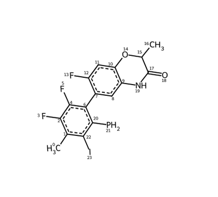 Cc1c(F)c(F)c(-c2cc3c(cc2F)OC(C)C(=O)N3)c(P)c1I